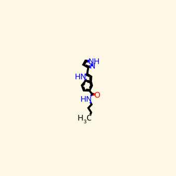 CCCCNC(=O)c1ccc2[nH]c(-c3cc[nH]n3)cc2c1